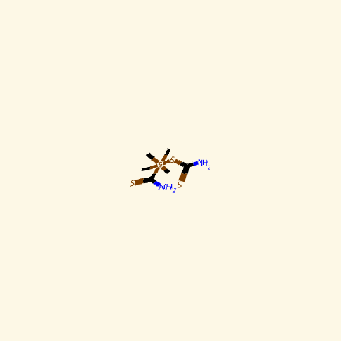 CS(C)(C)(C)(SC(N)=S)C(N)=S